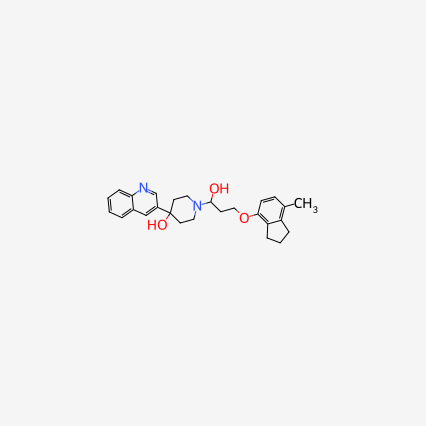 Cc1ccc(OCCC(O)N2CCC(O)(c3cnc4ccccc4c3)CC2)c2c1CCC2